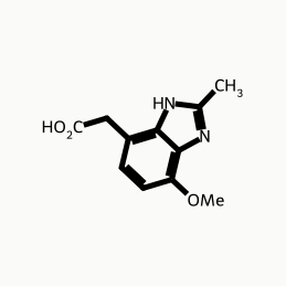 COc1ccc(CC(=O)O)c2[nH]c(C)nc12